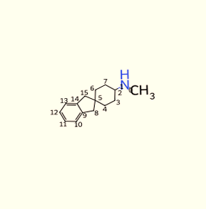 CNC1CCC2(CC1)Cc1ccccc1C2